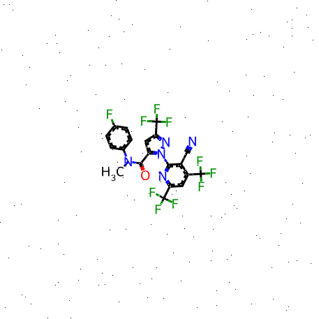 CN(C(=O)c1cc(C(F)(F)F)nn1-c1nc(C(F)(F)F)cc(C(F)(F)F)c1C#N)c1ccc(F)cc1